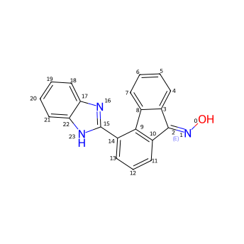 O/N=C1\c2ccccc2-c2c1cccc2-c1nc2ccccc2[nH]1